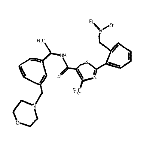 CCN(CC)Cc1ccccc1-c1nc(C(F)(F)F)c(C(=O)NC(C)c2cccc(CN3CCOCC3)c2)s1